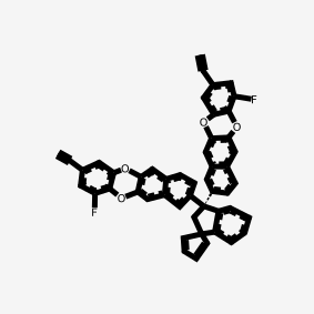 C#Cc1cc(F)c2c(c1)Oc1cc3cc([C@@]4(c5ccc6cc7c(cc6c5)Oc5c(F)cc(C#C)cc5O7)CC5(C=CC=C5)c5ccccc54)ccc3cc1O2